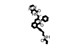 C=CC(=O)NCCC#Cc1cccc2cc([C@@H](C)NC(=O)c3nccnc3C)n(-c3ccccc3)c(=O)c12